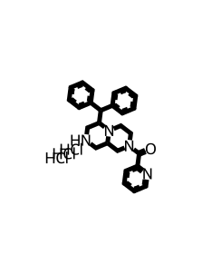 Cl.Cl.Cl.O=C(c1ccccn1)N1CCN2C(CNCC2C(c2ccccc2)c2ccccc2)C1